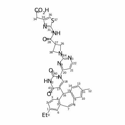 CCc1ccc2c(c1)C=Cc1cc(C)ccc1C2c1cn(-c2ccnc(N3CC(C(=O)Nc4nc(CC(=O)O)cs4)C3)n2)c(=O)[nH]c1=O